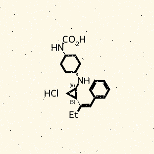 CCC(=Cc1ccccc1)[C@@H]1C[C@H]1N[C@H]1CC[C@@H](NC(=O)O)CC1.Cl